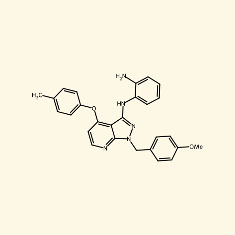 COc1ccc(Cn2nc(Nc3ccccc3N)c3c(Oc4ccc(C)cc4)ccnc32)cc1